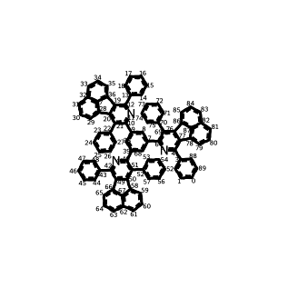 c1ccc(-c2nc(-c3cc(-c4nc(-c5ccccc5)c5c(c4-c4ccccc4)-c4cccc6cccc-5c46)cc(-c4nc(-c5ccccc5)c5c(c4-c4ccccc4)-c4cccc6cccc-5c46)c3)c(-c3ccccc3)c3c2-c2cccc4cccc-3c24)cc1